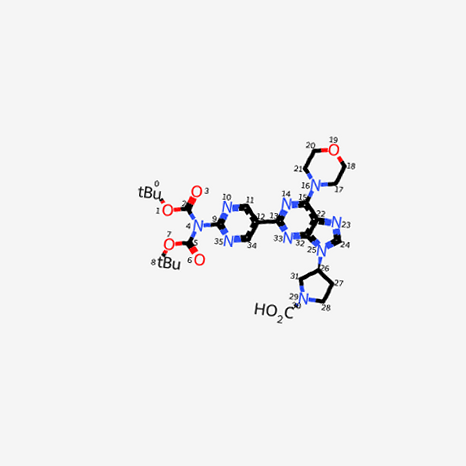 CC(C)(C)OC(=O)N(C(=O)OC(C)(C)C)c1ncc(-c2nc(N3CCOCC3)c3ncn([C@H]4CCN(C(=O)O)C4)c3n2)cn1